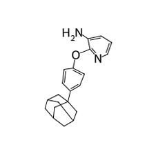 Nc1cccnc1Oc1ccc(C23CC4CC(CC(C4)C2)C3)cc1